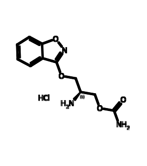 Cl.NC(=O)OC[C@@H](N)COc1noc2ccccc12